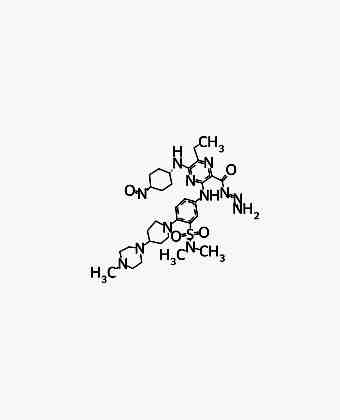 CCc1nc(C(=O)N=NN)c(Nc2ccc(N3CCC(N4CCN(C)CC4)CC3)c(S(=O)(=O)N(C)C)c2)nc1N[C@H]1CC[C@H](N=O)CC1